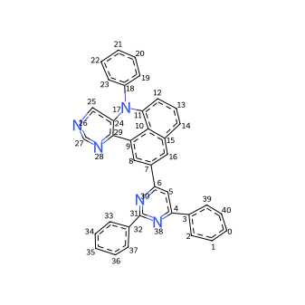 c1ccc(-c2cc(-c3cc4c5c(cccc5c3)N(c3ccccc3)c3cncnc3-4)nc(-c3ccccc3)n2)cc1